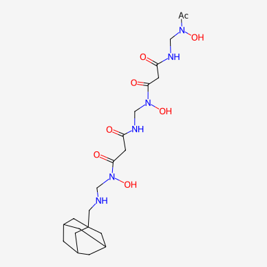 CC(=O)N(O)CNC(=O)CC(=O)N(O)CNC(=O)CC(=O)N(O)CNCC12CC3CC(CC(C3)C1)C2